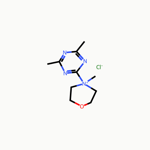 Cc1nc(C)nc([N+]2(C)CCOCC2)n1.[Cl-]